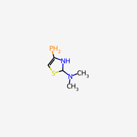 CN(C)C1NC(P)=CS1